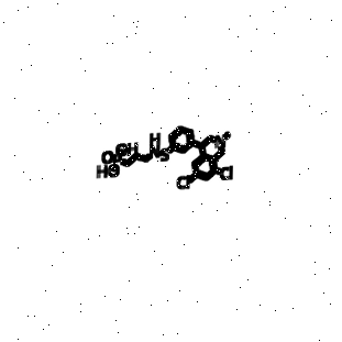 CN1Cc2c(Cl)cc(Cl)cc2C(c2cccc(SNCCCP(=O)(O)O)c2)C1